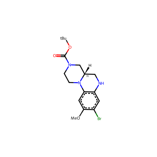 COc1cc2c(cc1Br)NC[C@H]1CN(C(=O)OC(C)(C)C)CCN21